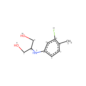 Cc1ccc(NC(CO)CO)cc1F